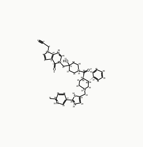 C#CCn1ccc2c(=O)n(CC3(O)CCN(C(=O)[C@@H]4CCN(Cc5cnc(-c6ccc(C)nc6)s5)C[C@H]4c4ccccc4)CC3)cnc21